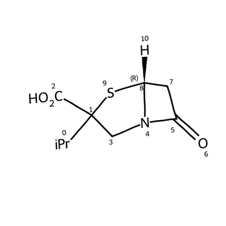 CC(C)C1(C(=O)O)CN2C(=O)C[C@H]2S1